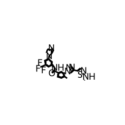 CNc1ncc(-c2cn(-c3cc(C(=O)Nc4cc(N5CC6CC5CN6C)cc(C(F)(F)F)c4)ccc3C)nn2)s1